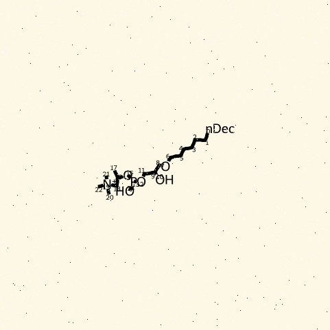 CCCCCCCCCCCCCCCCOCC(O)COP(O)OC(C)C[N+](C)(C)C